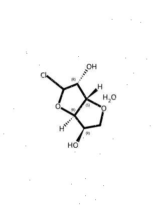 O.O[C@@H]1CO[C@@H]2[C@@H]1OC(Cl)[C@@H]2O